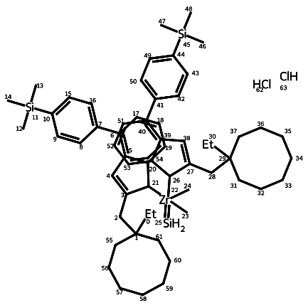 CCC1(CC2=Cc3c(-c4ccc([Si](C)(C)C)cc4)cccc3[CH]2[Zr]([CH3])([CH3])(=[SiH2])[CH]2C(CC3(CC)CCCCCCC3)=Cc3c(-c4ccc([Si](C)(C)C)cc4)cccc32)CCCCCCC1.Cl.Cl